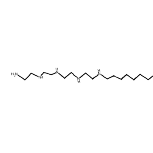 CCCCCCCCNCCNCCNCCNCCN